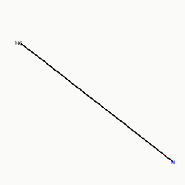 C#CC#CC#CC#CC#CC#CC#CC#CC#CC#CC#CC#CC#CC#CC#CC#CC#CC#CC#CC#CC#CC#CC#CC#CC#CC#CC#CC#CC#CC#CC#CC#CC#CC#CC#CC#CC#CC#CC#CC#CC#CC#N